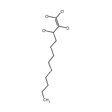 CCCCCCCCCC(Cl)C(Cl)=C(Cl)Cl